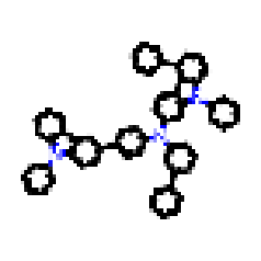 c1ccc(-c2cccc(N(c3ccc(-c4ccc5c(c4)c4ccccc4n5-c4ccccc4)cc3)c3ccc4c5c(-c6ccccc6)cccc5n(-c5ccccc5)c4c3)c2)cc1